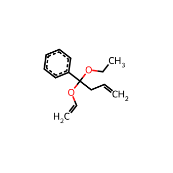 C=CCC(OC=C)(OCC)c1ccccc1